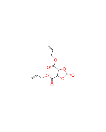 C=CCOC(=O)C1OC(=O)OC1C(=O)OCC=C